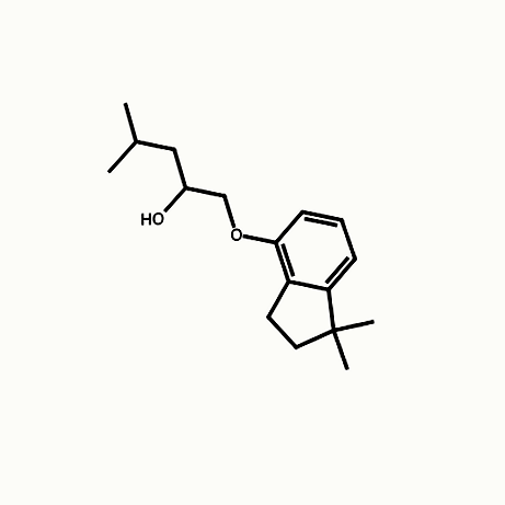 CC(C)CC(O)COc1cccc2c1CCC2(C)C